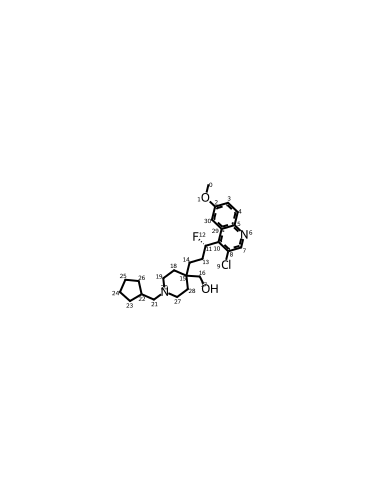 COc1ccc2ncc(Cl)c([C@@H](F)CCC3(CO)CCN(CC4CCCC4)CC3)c2c1